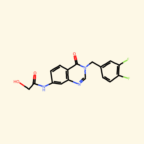 O=C(CO)Nc1ccc2c(=O)n(Cc3ccc(F)c(F)c3)cnc2c1